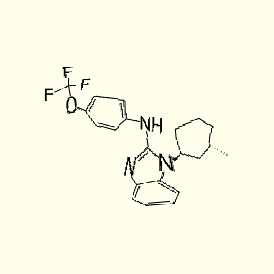 C[C@H]1CCC[C@H](n2c(Nc3ccc(OC(F)(F)F)cc3)nc3ccccc32)C1